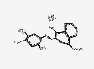 Cc1cc(C)c(S(=O)(=O)O)cc1N=Nc1cc(S(=O)(=O)O)c2ccccc2c1O.[NaH].[NaH]